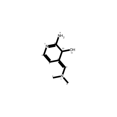 CN(C)C=C1C=CN=C(N)C1O